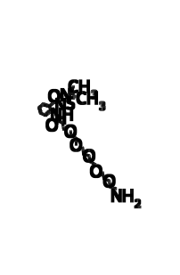 CC1N=C(NC(=O)c2ccccc2NC(=O)CCOCCOCCOCCOCCOCCN)SC1C